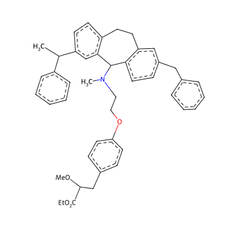 CCOC(=O)C(Cc1ccc(OCCN(C)C2c3ccc(Cc4ccccc4)cc3CCc3ccc(C(C)c4ccccc4)cc32)cc1)OC